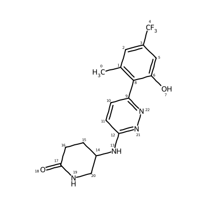 Cc1cc(C(F)(F)F)cc(O)c1-c1ccc(NC2CCC(=O)NC2)nn1